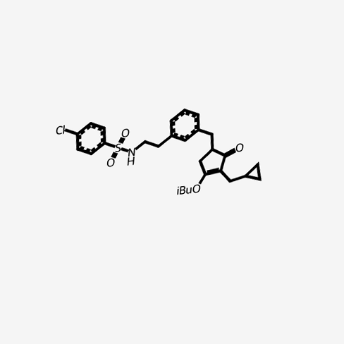 CC(C)COC1=C(CC2CC2)C(=O)C(Cc2cccc(CCNS(=O)(=O)c3ccc(Cl)cc3)c2)C1